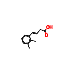 Cc1cccc(C=CCC(=O)O)c1C